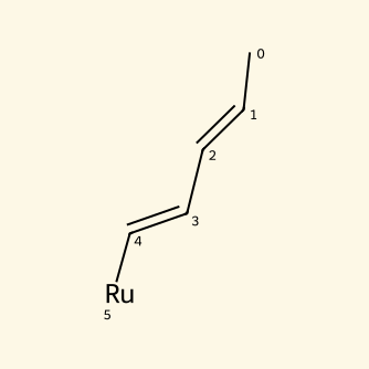 C/C=C/C=[CH]/[Ru]